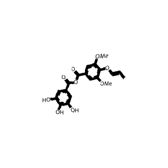 CC=COc1c(OC)cc(C(=O)OC(=O)c2cc(O)c(O)c(O)c2)cc1OC